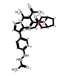 CC(=O)NNc1ccc(-c2cnn3c(N)c(C(C)=O)c(C4CC5CCC(C4)N5C(=O)CO)nc23)cn1